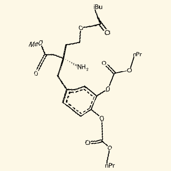 CCCOC(=O)Oc1ccc(C[C@](N)(CCOC(=O)C(C)CC)C(=O)OC)cc1OC(=O)OCCC